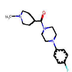 CN1CCC(C(=O)N2CCN(c3ccc(F)cc3)CC2)CC1